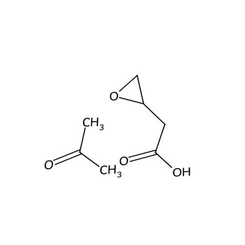 CC(C)=O.O=C(O)CC1CO1